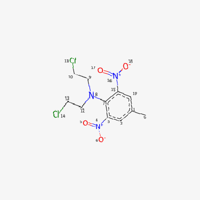 Cc1cc([N+](=O)[O-])c(N(CCCl)CCCl)c([N+](=O)[O-])c1